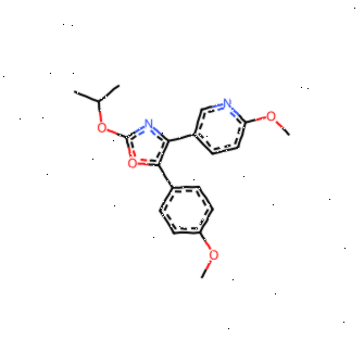 COc1ccc(-c2oc(OC(C)C)nc2-c2ccc(OC)nc2)cc1